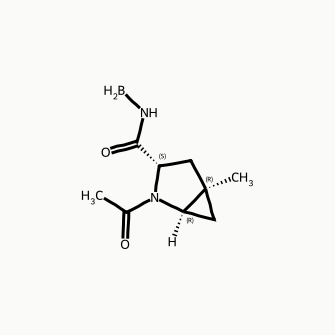 BNC(=O)[C@@H]1C[C@@]2(C)C[C@H]2N1C(C)=O